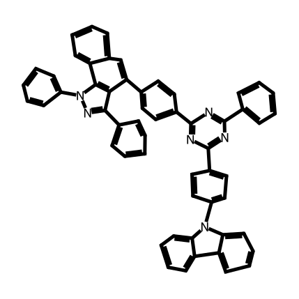 c1ccc(-c2nc(-c3ccc(-c4cc5ccccc5c5c4c(-c4ccccc4)nn5-c4ccccc4)cc3)nc(-c3ccc(-n4c5ccccc5c5ccccc54)cc3)n2)cc1